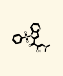 CN(C)C=C(C#N)C(=O)c1cc2ncccc2n1S(=O)(=O)c1ccccc1